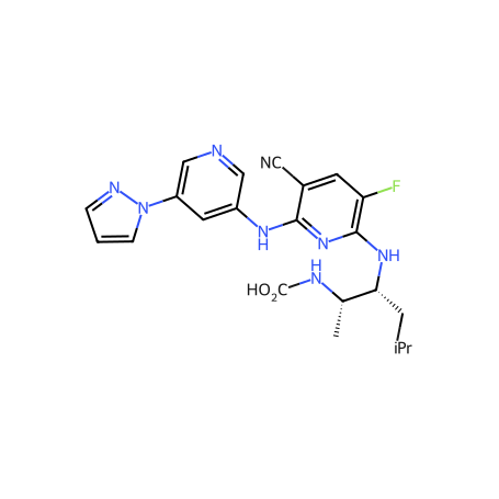 CC(C)C[C@@H](Nc1nc(Nc2cncc(-n3cccn3)c2)c(C#N)cc1F)[C@H](C)NC(=O)O